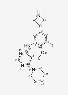 Cc1cc(C2CNC2)cc2c1OCc1c(ncnc1N1CCOCC1)N2